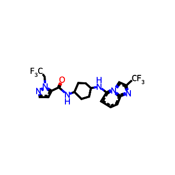 O=C(NC1CCC(Nc2cccc3nc(C(F)(F)F)cn23)CC1)c1ccnn1CC(F)(F)F